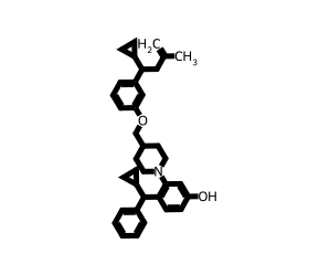 C=C(C)CC(c1cccc(OCC2CCN(c3cc(O)ccc3C(c3ccccc3)C3CC3)CC2)c1)C1CC1